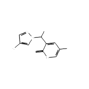 Cc1c[nH]c(=O)c(C(C)n2cc(N)cn2)c1